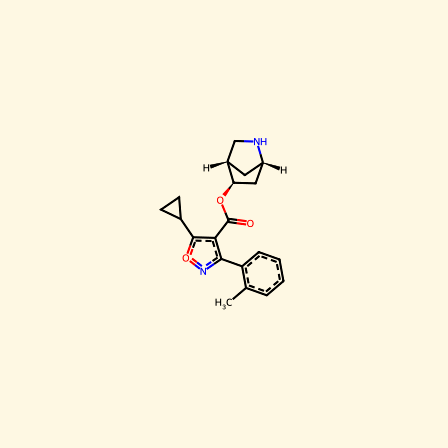 Cc1ccccc1-c1noc(C2CC2)c1C(=O)O[C@@H]1C[C@@H]2C[C@H]1CN2